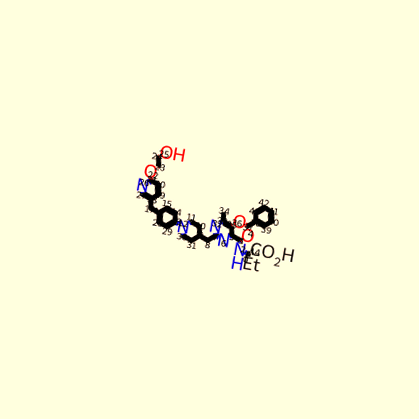 CCC(NC(=O)c1nc(CC2CCN(c3ccc(Cc4ccc(OCCO)nc4)cc3)CC2)nc(C)c1OCc1ccccc1)C(=O)O